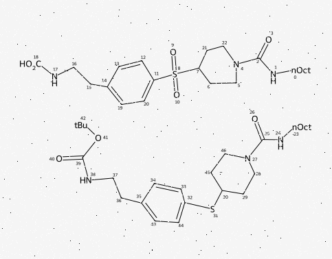 CCCCCCCCNC(=O)N1CCC(S(=O)(=O)c2ccc(CCNC(=O)O)cc2)CC1.CCCCCCCCNC(=O)N1CCC(Sc2ccc(CCNC(=O)OC(C)(C)C)cc2)CC1